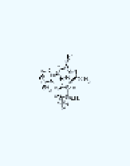 Cc1nc2c(C#N)cc(N3CCOC(C)C3)nn2c1CC1C=CC=C(C(F)(F)F)C1C